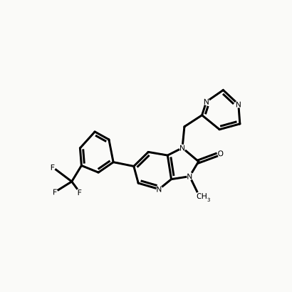 Cn1c(=O)n(Cc2ccncn2)c2cc(-c3cccc(C(F)(F)F)c3)cnc21